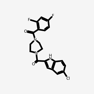 O=C(c1cc2cc(Cl)ccc2[nH]1)N1CCN(C(=O)c2ccc(F)cc2F)CC1